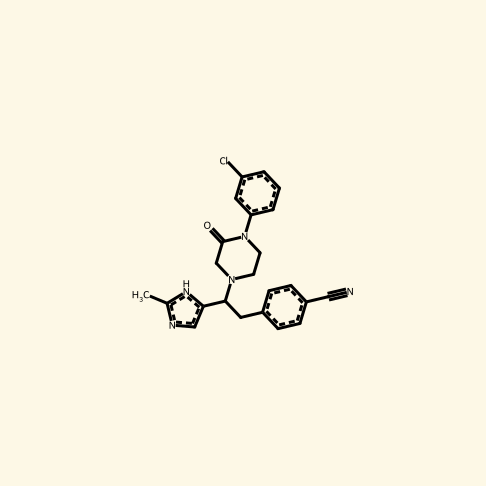 Cc1ncc(C(Cc2ccc(C#N)cc2)N2CCN(c3cccc(Cl)c3)C(=O)C2)[nH]1